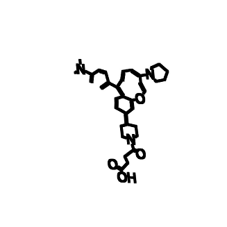 C=C(/C=C\C(=C)N(C)C)C1=c2\ccc(=C3CCN(C(=O)CCC(=O)O)CC3)cc2O/C=C/C(N2CCCCC2)=C\C=C\1